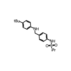 CC(C)S(=O)(=O)Nc1ccc(CNc2ccc(C(C)(C)C)cc2)cc1